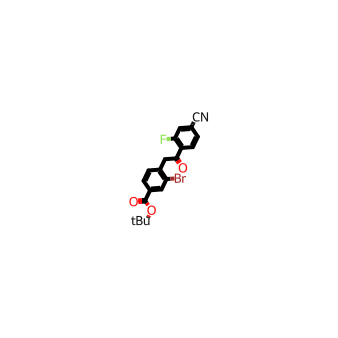 CC(C)(C)OC(=O)c1ccc(CC(=O)c2ccc(C#N)cc2F)c(Br)c1